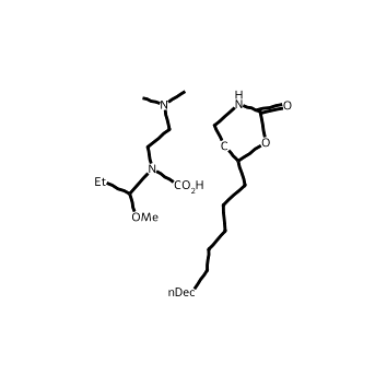 CCC(OC)N(CCN(C)C)C(=O)O.CCCCCCCCCCCCCCCC1CCNC(=O)O1